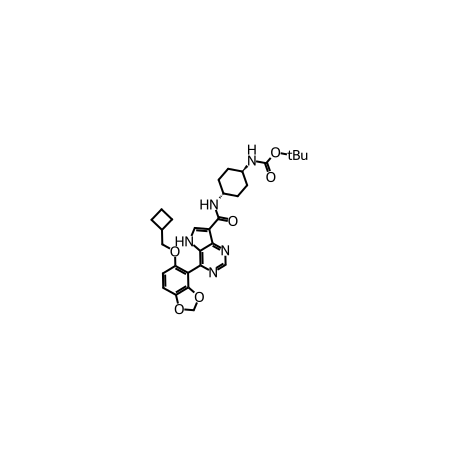 CC(C)(C)OC(=O)N[C@H]1CC[C@H](NC(=O)c2c[nH]c3c(-c4c(OCC5CCC5)ccc5c4OCO5)ncnc23)CC1